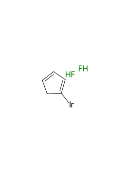 F.F.[Ir][C]1=CC=CC1